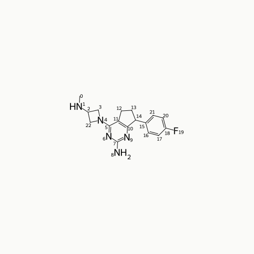 CNC1CN(c2nc(N)nc3c2CCC3c2ccc(F)cc2)C1